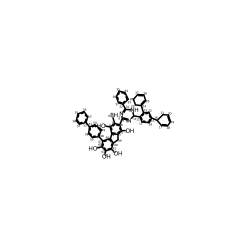 Bc1c(O)c2c(c(O)c1C1=NC(c3ccc(C4C=CC=CC4)cc3C3=CC=CCC3)NC(c3ccccc3)=N1)Cc1c(O)c(O)c(O)c(-c3ccc(-c4ccccc4)cc3)c1-2